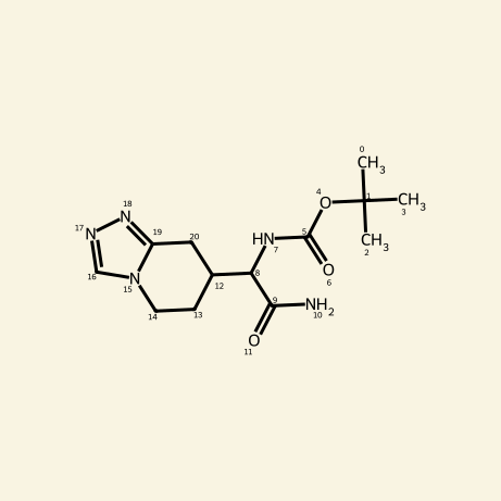 CC(C)(C)OC(=O)NC(C(N)=O)C1CCn2cnnc2C1